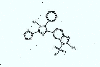 CC(C)S(=O)(=O)n1c(N)nc2ccc(-c3nc(-c4cccs4)n(C)c3-c3ccccc3)cc21